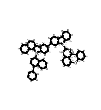 c1ccc(-c2ccc(-n3c4ccc(-c5ccc6c7ccccc7n(-c7nc8c9c(cccc9n7)Oc7ccccc7-8)c6c5)cc4c4ccc5ccccc5c43)c3ccccc23)cc1